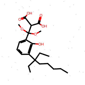 CCCCCC(CC)(CC)c1cccc(C(OC)(OC)C(C(=O)O)C(=O)O)c1O